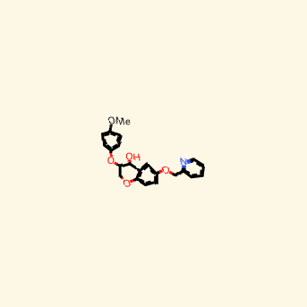 COc1ccc(OC2COc3ccc(OCc4ccccn4)cc3C2O)cc1